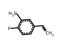 C=Cc1ccc(F)c([SiH3])c1